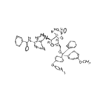 COc1ccc(C(OC[C@H]2O[C@@H](n3nnc4c(NC(=O)c5ccccc5)ncnc43)[C@@H](F)[C@@H]2O[PH](=O)O)(c2ccccc2)c2ccc(OC)cc2)cc1